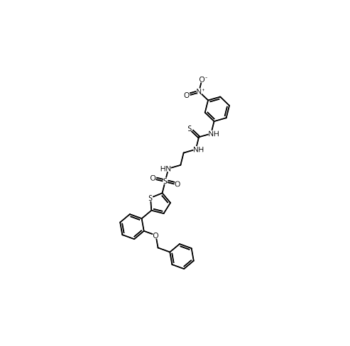 O=[N+]([O-])c1cccc(NC(=S)NCCNS(=O)(=O)c2ccc(-c3ccccc3OCc3ccccc3)s2)c1